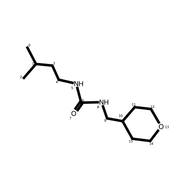 CC(C)CCNC(=O)NCC1CCOCC1